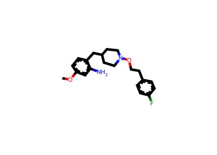 COc1ccc(CC2CCN(OCCc3ccc(F)cc3)CC2)c(N)c1